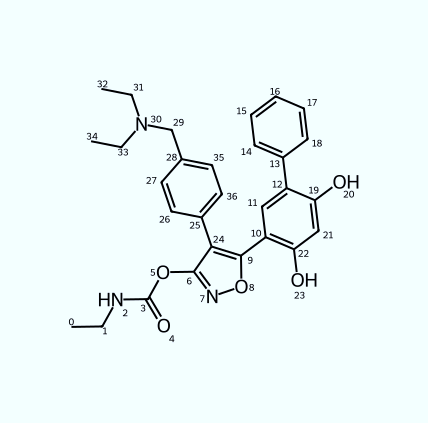 CCNC(=O)Oc1noc(-c2cc(-c3ccccc3)c(O)cc2O)c1-c1ccc(CN(CC)CC)cc1